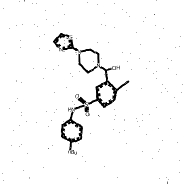 CCCCc1ccc(NS(=O)(=O)c2ccc(C)c(C(O)N3CCN(c4nccs4)CC3)c2)cc1